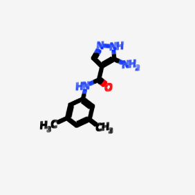 Cc1cc(C)cc(NC(=O)c2cn[nH]c2N)c1